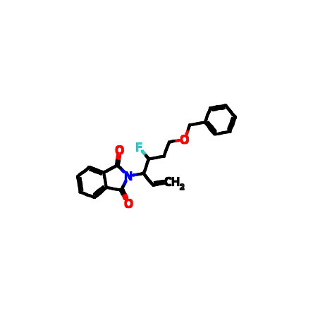 C=CC(C(F)CCOCc1ccccc1)N1C(=O)c2ccccc2C1=O